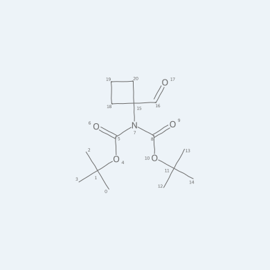 CC(C)(C)OC(=O)N(C(=O)OC(C)(C)C)C1(C=O)CCC1